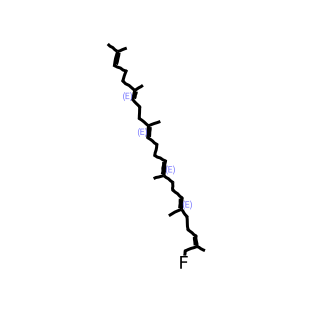 CC(C)=CCC/C(C)=C/CC/C(C)=C/CC/C=C(\C)CC/C=C(\C)CCC=C(C)CF